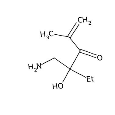 C=C(C)C(=O)C(O)(CC)CN